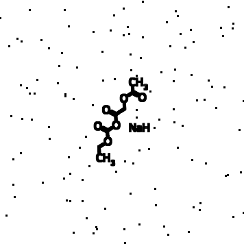 CCOC(=O)OC(=O)COC(C)=O.[NaH]